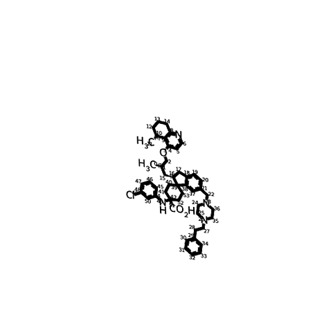 C[C@@H](COc1ccnc2c1[C@H](C)CCC2)C[C@H]1Cc2ccc(CN3CCN(CCc4ccccc4)CC3)cc2C12CCC(Nc1cccc(Cl)c1)(C(=O)O)CC2